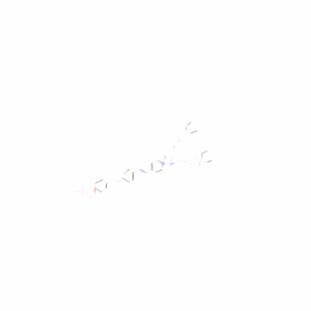 C=CC(C=C)OCCCCN(CCCCOC(C=C)C=C)c1ccc(/C=C/c2ccc(CCc3ccc(O)cc3)cc2)cc1